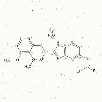 COc1ccnc(C[S+]([O-])c2nc3cc(OC(F)F)ccc3[nH]2)c1OC.O.O